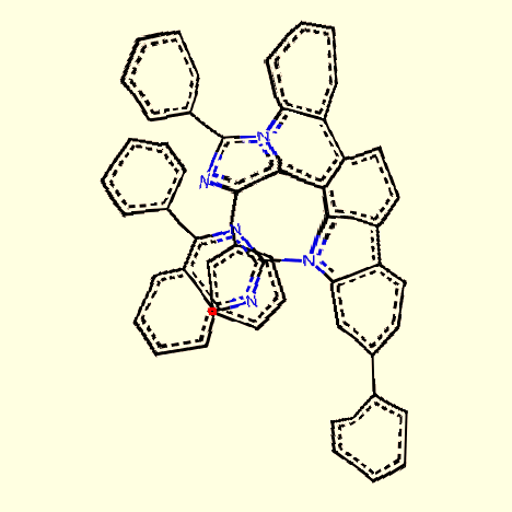 c1ccc(-c2ccc3c4ccc5c6ccccc6n6c(-c7ccccc7)nc(-c7ccccc7)c6c5c4n(-c4nc(-c5ccccc5)c5ccccc5n4)c3c2)cc1